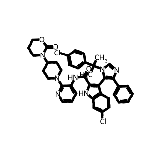 CC(C)(c1ccc(Cl)cc1)n1cnc(-c2ccccc2)c1-c1c(C(=O)Nc2cccnc2N2CCC(N3CCCOC3=O)CC2)[nH]c2cc(Cl)ccc12